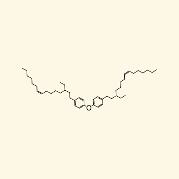 CCCCCC/C=C\CCCCC(CC)CCc1ccc(Oc2ccc(CCC(CC)CCCC/C=C\CCCCCC)cc2)cc1